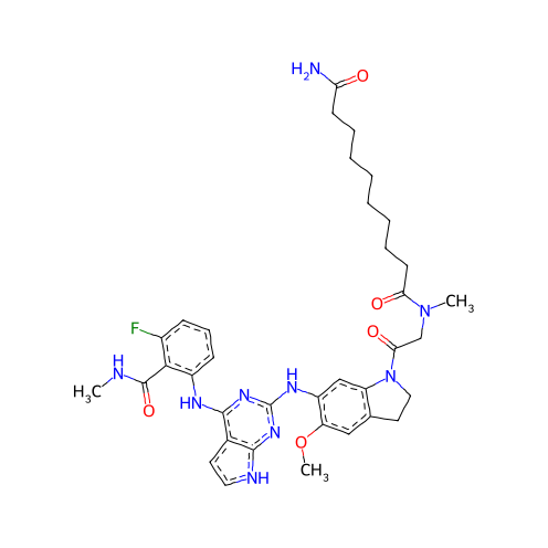 CNC(=O)c1c(F)cccc1Nc1nc(Nc2cc3c(cc2OC)CCN3C(=O)CN(C)C(=O)CCCCCCCCC(N)=O)nc2[nH]ccc12